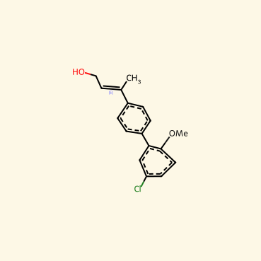 COc1ccc(Cl)cc1-c1ccc(/C(C)=C/CO)cc1